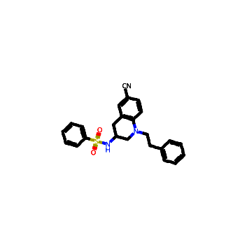 N#Cc1ccc2c(c1)CC(NS(=O)(=O)c1ccccc1)CN2CCc1ccccc1